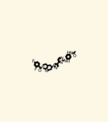 CC(=O)Nc1ccc(Nc2nccc(-c3cnn(C(CC#N)CC4CCN(C(=O)c5ccc(F)cc5F)CC4)c3)n2)cc1